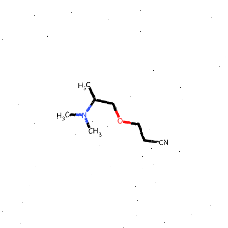 CC(COCCC#N)N(C)C